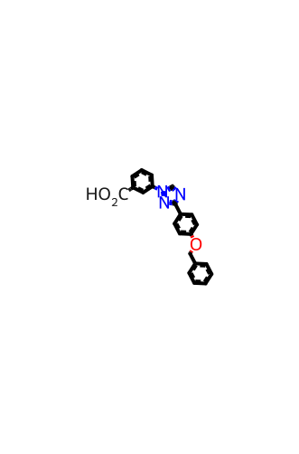 O=C(O)c1cccc(-n2cnc(-c3ccc(OCc4ccccc4)cc3)n2)c1